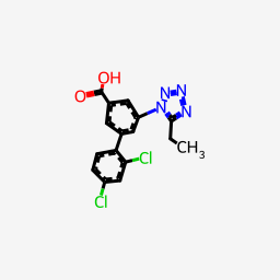 CCc1nnnn1-c1cc(C(=O)O)cc(-c2ccc(Cl)cc2Cl)c1